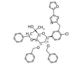 CC(C)(O)[C@H]1O[C@@H](c2ccc(Cl)c(Cc3ncc(-c4ccco4)s3)c2)[C@H](OCc2ccccc2)[C@H](OCc2ccccc2)[C@H]1OCc1ccccc1